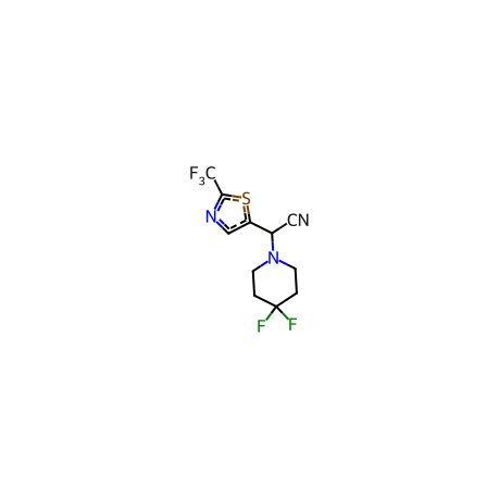 N#CC(c1cnc(C(F)(F)F)s1)N1CCC(F)(F)CC1